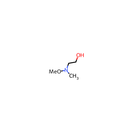 CON(C)CCO